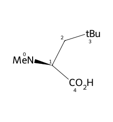 CN[C@@H](CC(C)(C)C)C(=O)O